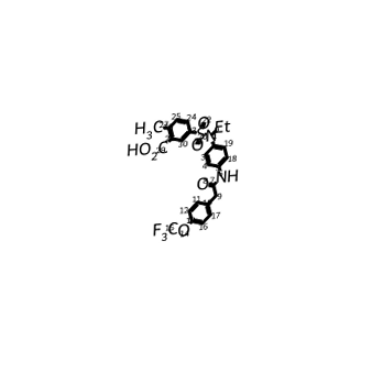 CCN(c1ccc(NC(=O)Cc2ccc(OC(F)(F)F)cc2)cc1)S(=O)(=O)c1ccc(C)c(C(=O)O)c1